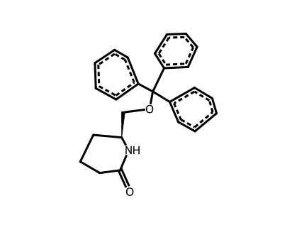 O=C1CCC[C@@H](COC(c2ccccc2)(c2ccccc2)c2ccccc2)N1